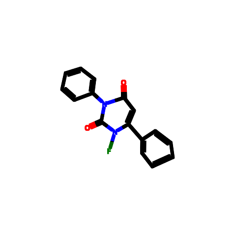 O=c1cc(-c2ccccc2)n(F)c(=O)n1-c1ccccc1